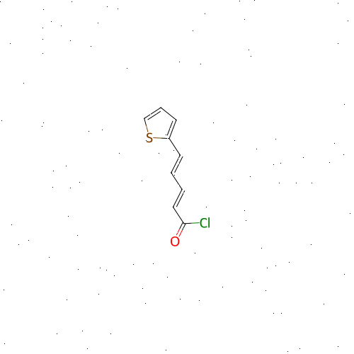 O=C(Cl)C=CC=Cc1cccs1